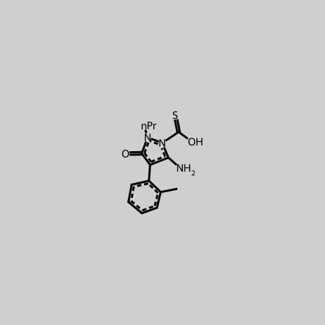 CCCn1c(=O)c(-c2ccccc2C)c(N)n1C(O)=S